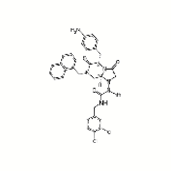 CC(C)N(C(=O)NCc1ccc(Cl)c(Cl)c1)N1CC(=O)N2[C@@H](Cc3ccc(N)cc3)C(=O)N(Cc3cccc4ccccc34)C[C@@H]21